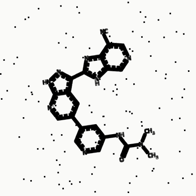 [C-]#[N+]c1cncc2[nH]c(-c3n[nH]c4ncc(-c5cncc(NC(=O)N(C)C)c5)cc34)nc12